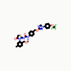 COCc1ccc(C)cc1N1C(=O)CS/C1=N\C(=O)Nc1ccc(COc2ncn(-c3ccc(OC(F)(F)F)cc3)n2)cc1